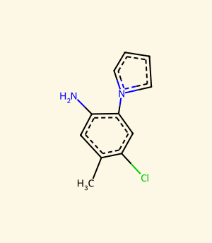 Cc1cc(N)c(-n2cccc2)cc1Cl